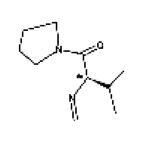 C=N[C@@H](C(=O)N1CCCC1)C(C)C